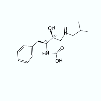 CC(C)CNC[C@H](O)[C@H](Cc1ccccc1)NC(=O)O